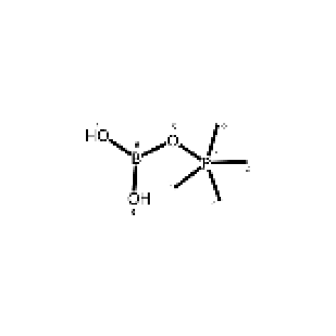 CP(C)(C)(C)OB(O)O